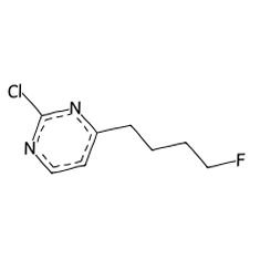 FCCCCc1ccnc(Cl)n1